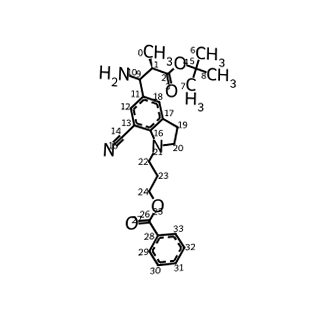 C[C@@H](C(=O)OC(C)(C)C)C(N)c1cc(C#N)c2c(c1)CCN2CCCOC(=O)c1ccccc1